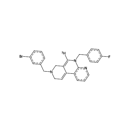 [2H]C1=C2CN(Cc3cccc(Br)c3)CC=C2c2cccnc2N1Cc1ccc(F)cc1